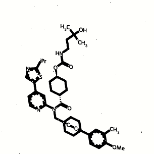 COc1ccc(C23CCC(CN(c4cc(-c5cnc(C(C)C)s5)ccn4)C(=O)[C@H]4CC[C@H](OC(=O)NCCC(C)(C)O)CC4)(CC2)CC3)cc1C